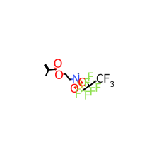 C=C(C)C(=O)OCCN(C)S(=O)(=O)C(F)(F)C(F)(F)C(F)(F)C(F)(F)F